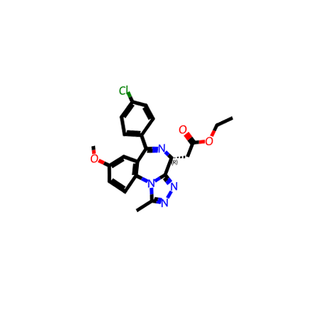 CCOC(=O)C[C@H]1N=C(c2ccc(Cl)cc2)c2cc(OC)ccc2-n2c(C)nnc21